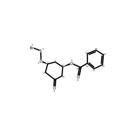 O=C1C[C@@H](OSBr)C[C@@H](OC(=O)c2ccccc2)C1